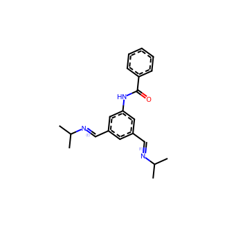 CC(C)/N=C/c1cc(/C=N/C(C)C)cc(NC(=O)c2ccccc2)c1